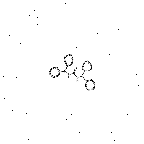 O=C(NC(c1ccccc1)c1ccccc1)NN(c1ccccc1)c1ccccc1